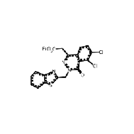 CCOC(=O)Cc1nn(Cc2nc3ccccc3s2)c(=O)c2c(Cl)c(Cl)ccc12